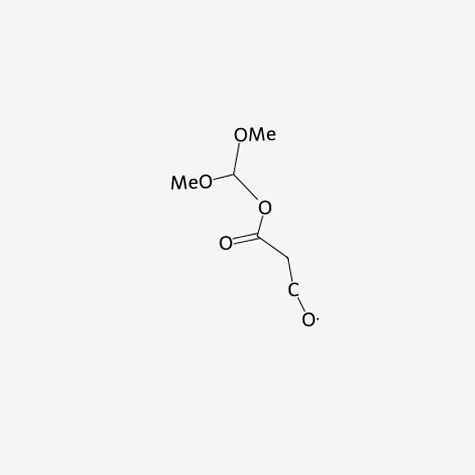 COC(OC)OC(=O)CC[O]